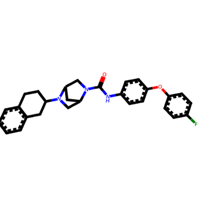 O=C(Nc1ccc(Oc2ccc(F)cc2)cc1)N1CC2CC1CN2C1CCc2ccccc2C1